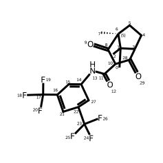 CC1(C)C2CC[C@]1(C)C(=O)C(C(=O)Nc1cc(C(F)(F)F)cc(C(F)(F)F)c1)C2=O